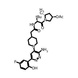 CC(=O)O[C@@H]1C[C@@H](C)N(C(=O)[C@@H](NC(=O)CC2CCN(c3cc(-c4cc(F)ccc4O)nnc3N)CC2)C(C)(C)C)C1